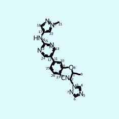 CC(Cn1cncn1)Oc1cc(-c2cnc(Nc3cnn(C)c3)nc2)ccc1C#N